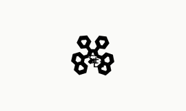 CC[Si]1(C)C(c2cccc3ccccc23)=C(c2ccccc2)C(c2ccccc2)=C1c1cccc2ccccc12